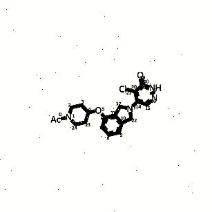 CC(=O)N1CCC(Oc2cccc3c2CN(c2cn[nH]c(=O)c2Cl)C3)CC1